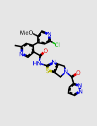 COc1cnc(Cl)cc1-c1cc(C)ncc1C(=O)Nc1nc2c(s1)CN(C(=O)c1cccnn1)C2